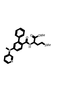 COC(=O)C(CCSC)NC(=O)c1ccc(N(C)c2cccnc2)cc1-c1ccccc1